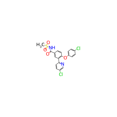 CS(=O)(=O)NC(=O)c1ccc(Oc2ccc(Cl)cc2)c(-c2ccc(Cl)cn2)c1